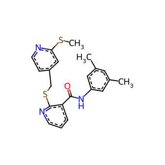 CSc1cc(CSc2ncccc2C(=O)Nc2cc(C)cc(C)c2)ccn1